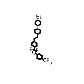 CC[C@H]1CC[C@H](C2CCC(CCc3ccc(C(F)(F)Oc4ccc(C(F)(F)F)cc4)cc3)CC2)CC1